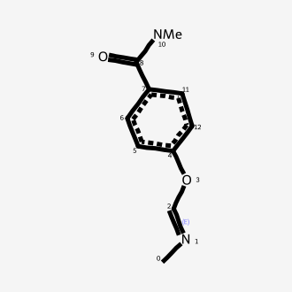 C/N=C/Oc1ccc(C(=O)NC)cc1